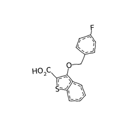 O=C(O)c1sc2ccccc2c1OCc1ccc(F)cc1